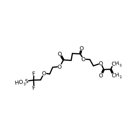 C=C(C)C(=O)OCCOC(=O)CCC(=O)OCCOCC(F)(F)S(=O)(=O)O